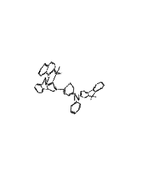 CC1(C)c2ccccc2-c2ccc(N(c3ccccc3)c3ccc(-c4cc5c6c(c4)c4ccccc4n6-c4c(ccc6ccccc46)C5(C)C)cc3)cc21